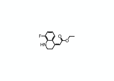 CCOC(=O)/C=C1/CCNc2c(F)cccc21